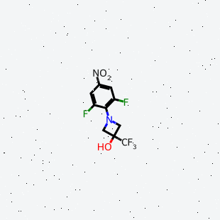 O=[N+]([O-])c1cc(F)c(N2CC(O)(C(F)(F)F)C2)c(F)c1